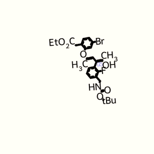 CCOC(=O)Cc1ccc(Br)cc1OC(C)=C/C(=C(\C)O)c1cccc(CNC(=O)OC(C)(C)C)c1F